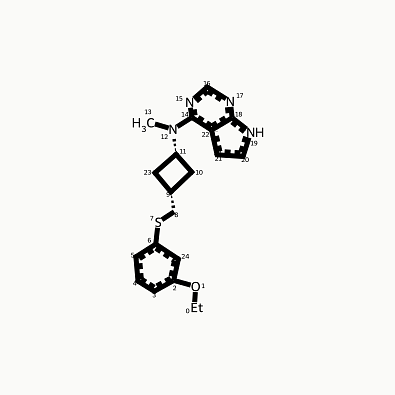 CCOc1cccc(SC[C@H]2C[C@@H](N(C)c3ncnc4[nH]ccc34)C2)c1